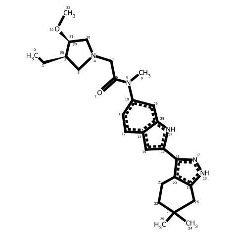 CC[C@@H]1CN(CC(=O)N(C)c2ccc3cc(-c4n[nH]c5c4CCC(C)(C)C5)[nH]c3c2)C[C@@H]1OC